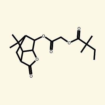 CCC(C)(C)C(=O)OCC(=O)OC1C2OC(=O)C3CC1C(C)(C)C32